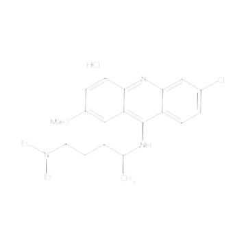 CCN(CC)CCCC(C)Nc1c2ccc(Cl)cc2nc2ccc(OC)cc12.Cl